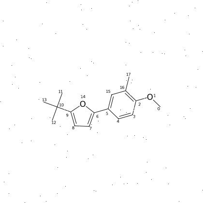 COc1ccc(-c2ccc(C(C)(C)C)o2)cc1C